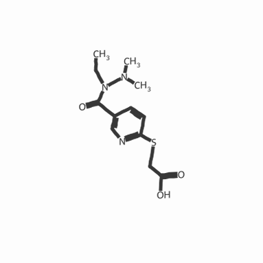 CCN(C(=O)c1ccc(SCC(=O)O)nc1)N(C)C